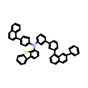 c1ccc(-c2ccc3cccc(-c4cccc(-c5cccc(N(c6ccc(-c7cccc8ccccc78)cc6)c6cccc7c6sc6ccccc67)c5)c4)c3c2)cc1